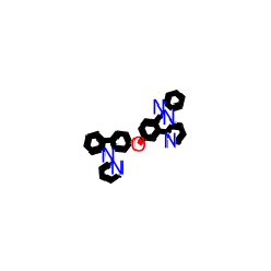 c1ccc(-n2c3ccccc3c3ccc(Oc4ccc5c(c4)c4ncccc4n4c6ccccc6nc54)cc32)nc1